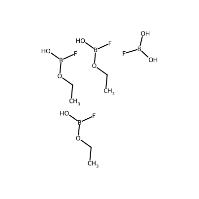 CCOB(O)F.CCOB(O)F.CCOB(O)F.OB(O)F